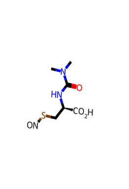 CN(C)C(=O)N[C@H](CSN=O)C(=O)O